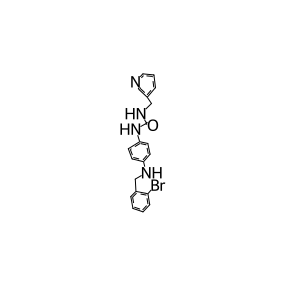 O=C(NCc1cccnc1)Nc1ccc(NCc2ccccc2Br)cc1